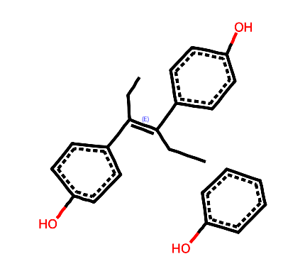 CC/C(=C(/CC)c1ccc(O)cc1)c1ccc(O)cc1.Oc1ccccc1